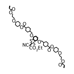 C=CC(=O)OCCCOC1CCC(OC(=O)C2CCC(COc3ccc(OCC4CCC(C(=O)OC5CCC(OCCCOC(=O)C=C)CC5)CC4)c4c3SC(=C(C#N)C(=O)OCC)S4)CC2)CC1